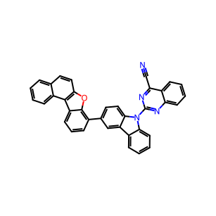 N#Cc1nc(-n2c3ccccc3c3cc(-c4cccc5c4oc4ccc6ccccc6c45)ccc32)nc2ccccc12